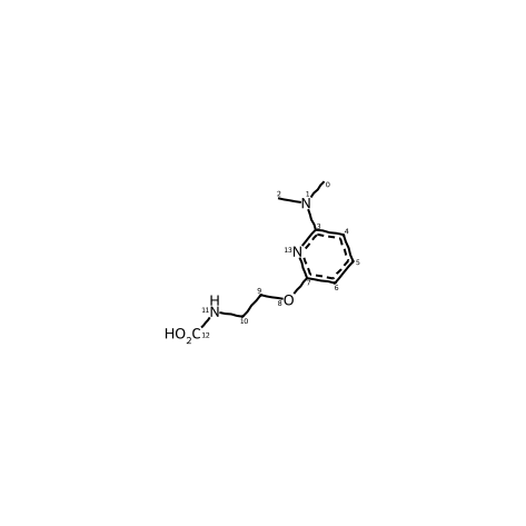 CN(C)c1cccc(OCCNC(=O)O)n1